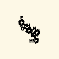 Nc1nccn2c(C3CCCN3)nc(-c3ccc(C(=O)Nc4cc(F)ccn4)cc3)c12